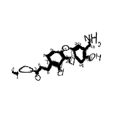 CCOC(=O)CCc1ccc(Oc2ccc(O)c(CN)c2)c(Cl)c1Cl